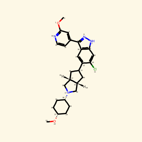 COc1cc(-c2n[nH]c3cc(Cl)c(C4C[C@@H]5CN([C@H]6CC[C@@H](OC)CC6)C[C@@H]5C4)cc23)ccn1